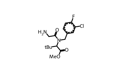 COC(=O)C(N(Cc1ccc(F)c(Cl)c1)C(=O)CN)C(C)(C)C